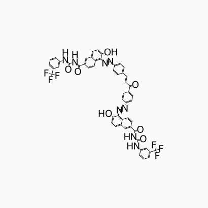 O=C(NC(=O)c1ccc2c(N=Nc3ccc(C=CC(=O)c4ccc(N=Nc5c(O)ccc6cc(C(=O)NC(=O)Nc7cccc(C(F)(F)F)c7)ccc56)cc4)cc3)c(O)ccc2c1)Nc1cccc(C(F)(F)F)c1